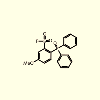 COc1ccc(P(=O)(c2ccccc2)c2ccccc2)c(S(=O)(=O)F)c1